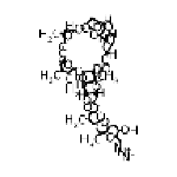 C=C1C[C@@H]2CC[C@]34CCC(O3)[C@H]3C[C@@H](O4)[C@H]4O[C@H](CC[C@@H]4O3)CC(=O)O[C@@H]3[C@@H](C)[C@@H]4O[C@@H]5C[C@]6(CC7O[C@]8(C[C@H](C)C9OC(CN=[N+]=[N-])[C@H](O)CC9O8)C[C@H](C)C7O6)O[C@@H]5C[C@@H]4O[C@H]3CC3O[C@@H](CCC1O2)C[C@@H](C)C3=C